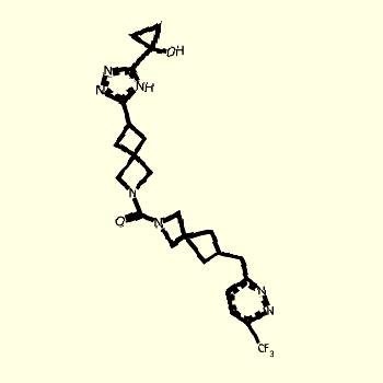 O=C(N1CC2(CC(Cc3ccc(C(F)(F)F)nn3)C2)C1)N1CC2(CC(c3nnc(C4(O)CC4)[nH]3)C2)C1